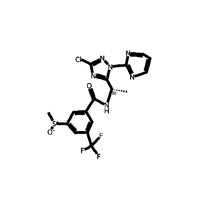 C[C@H](NC(=O)c1cc([S+](C)[O-])cc(C(F)(F)F)c1)c1nc(Cl)nn1-c1ncccn1